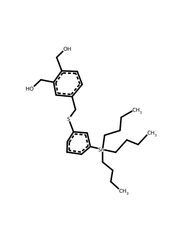 CCC[CH2][Sn]([CH2]CCC)([CH2]CCC)[c]1cccc(SCc2ccc(CO)c(CO)c2)c1